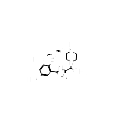 CCOC=O.Cc1ccc(F)c(-c2nc(C(C)N3CCNCC3)no2)c1